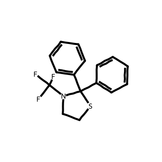 FC(F)(F)N1CCSC1(c1ccccc1)c1ccccc1